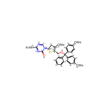 COc1ccc(C(OC[C@H]2S[C@@H](n3cnc(NC(C)=O)nc3=O)C[C@H]2OC)(c2ccccc2)c2ccc(OC)cc2)cc1